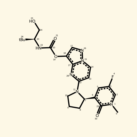 Cn1cc(F)cc([C@H]2CCCN2c2ccn3ncc(OC(=O)N[C@H](CO)C(C)(C)C)c3n2)c1=O